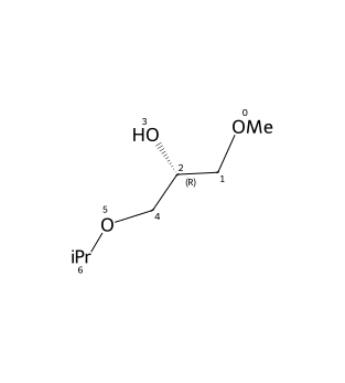 COC[C@@H](O)COC(C)C